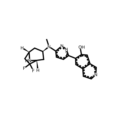 CN(c1ccc(-c2cc3ccncc3cc2O)nn1)[C@@H]1C[C@H]2CC(F)(F)[C@@H](C1)N2